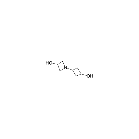 OC1CC(N2CC(O)C2)C1